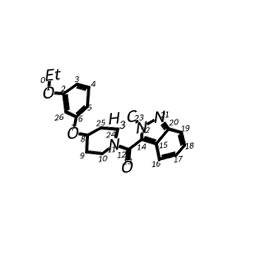 CCOc1cccc(OC2CCN(C(=O)c3c4ccccc4nn3C)CC2)c1